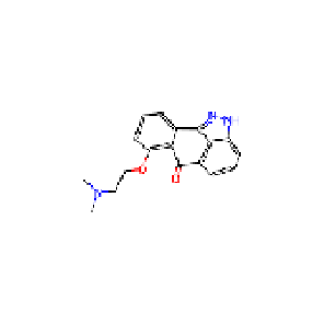 CN(C)CCOc1cccc2c1C(=O)c1cccc3[nH]nc-2c13